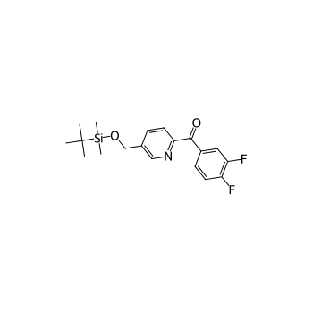 CC(C)(C)[Si](C)(C)OCc1ccc(C(=O)c2ccc(F)c(F)c2)nc1